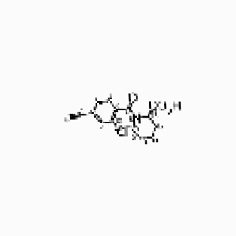 [C]#Cc1ccc(C(=O)N2CCCCC2C(=O)O)c(C(F)(F)F)c1